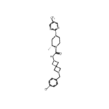 C[C@@H]1CN(c2ncc(C(F)(F)F)cn2)CCN1C(=O)NC1CC2(C1)CN(Cc1ccc(Cl)cc1)C2